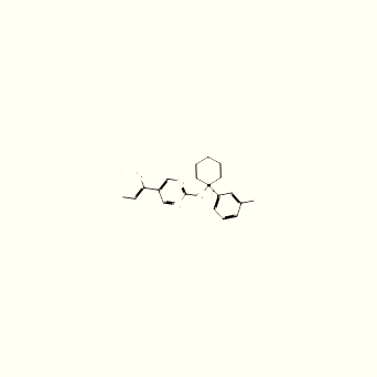 CC=C(N)c1cnc(NC2(c3cccc(C)c3)CCCCC2)nc1